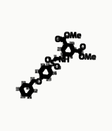 COC(=O)c1cc(NCS(=O)(=O)c2ccc(OCc3ccccc3)cc2)cc(C(=O)OC)c1